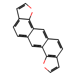 c1cc2ccc3cc4c(ccc5ccoc54)cc3c2o1